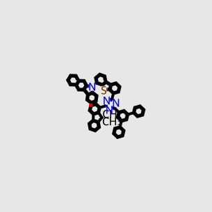 CC1(C)c2ccccc2-c2cccc(-c3nc(-c4cc(-c5ccccc5)cc(-c5ccccc5)c4)nc(-c4cccc5c4sc4c(-n6c7ccccc7c7cc8ccccc8cc76)cccc45)n3)c21